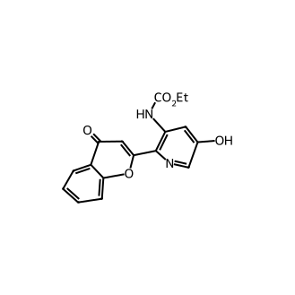 CCOC(=O)Nc1cc(O)cnc1-c1cc(=O)c2ccccc2o1